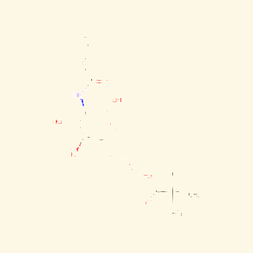 CCCC(=O)N[C@H]1C(O)O[C@H](COCOC(=O)C(C)(C)C)[C@@H](O)[C@@H]1O